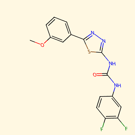 COc1cccc(-c2nnc(NC(=O)Nc3ccc(F)c(F)c3)s2)c1